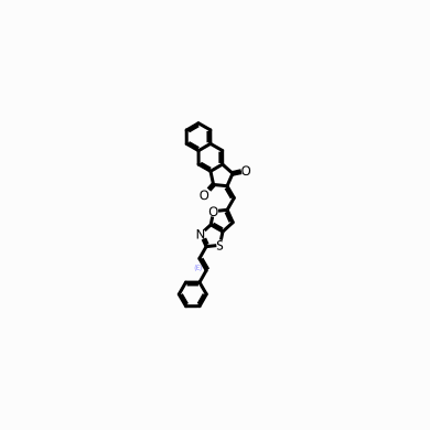 O=C1C(=Cc2cc3sc(/C=C/c4ccccc4)nc3o2)C(=O)c2cc3ccccc3cc21